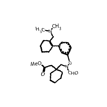 COC(=O)CC1(CN(C=O)Oc2cccc(C3=C(CN(C)C)CCCC3)c2)CCCCC1